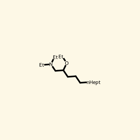 CCCCCCCCCCC(CN(CC)CC)OCC